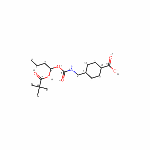 CCCC(OC(=O)NCC1CCC(C(=O)O)CC1)OC(=O)C(C)(C)C